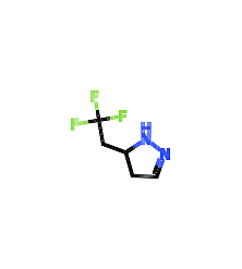 FC(F)(F)CC1CC=NN1